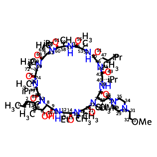 C/C=C/C[C@@H](C)[C@@H](O)[C@H]1C(=O)N[C@@H](CC)C(=O)N(C)[C@H](C)C(=O)N(C)[C@@H]([C@H](CN2CCN(CCOC)CC2)OC)C(=O)N[C@@H](C(C)C)C(=O)N(C)[C@@H](CCC(C)C)C(=O)N[C@@H](C)C(=O)N[C@H](C)C(=O)N(C)[C@@H](CC(C)C)C(=O)N(C)[C@@H](CC(C)C)C(=O)N(C)[C@@H](C(C)C)C(=O)N1C